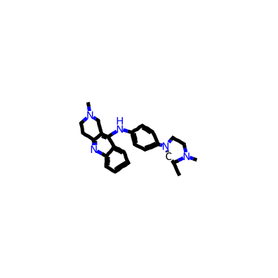 CC1CN(c2ccc(Nc3c4c(nc5ccccc35)CCN(C)C4)cc2)CCN1C